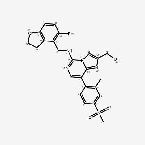 Cc1cc(S(C)(=O)=O)ccc1-c1cnc(NCc2c(F)ccc3c2CCO3)n2cc(CO)nc12